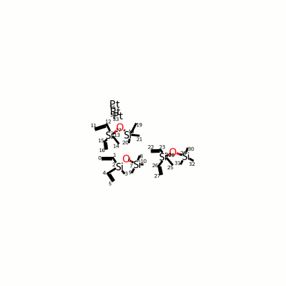 C=C[Si](C)(C=C)O[Si](C)(C)C.C=C[Si](C)(C=C)O[Si](C)(C)C.C=C[Si](C)(C=C)O[Si](C)(C)C.[Pt].[Pt].[Pt]